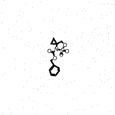 O=C(OCc1ccccc1)N1C2(CC2)COS1(=O)=O